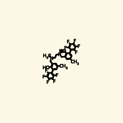 Cc1cc(CN(C)CCN(C)Cc2cc(C)cc(-c3c(F)c(F)c(F)c(F)c3F)c2O)c(O)c(-c2c(F)c(F)c(F)c(F)c2F)c1